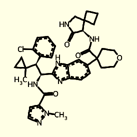 Cn1nccc1C(=O)N[C@H](c1nc2ccc(C3(C(=O)N[C@H]4C(=O)NCC45CCC5)CCOCC3)cc2[nH]1)[C@H](c1ccccc1Cl)C1(C)CC1